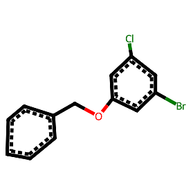 Clc1cc(Br)cc(OCc2ccccc2)c1